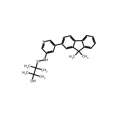 CC1(C)c2ccccc2-c2ccc(-c3cncc(BOC(C)(C)C(C)(C)O)c3)cc21